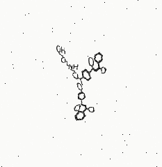 O=c1cc(-c2ccc(OCC(OCCNCCOCCO)c3ccc(-c4cc(=O)c5ccccc5o4)cc3)cc2)oc2ccccc12